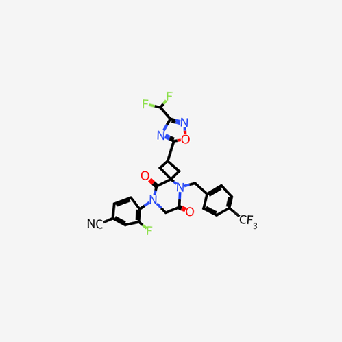 N#Cc1ccc(N2CC(=O)N(Cc3ccc(C(F)(F)F)cc3)C3(CC(c4nc(C(F)F)no4)C3)C2=O)c(F)c1